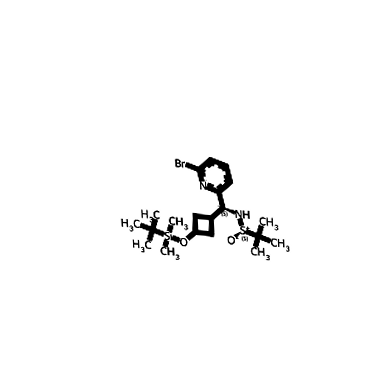 CC(C)(C)[S@@+]([O-])N[C@H](c1cccc(Br)n1)C1CC(O[Si](C)(C)C(C)(C)C)C1